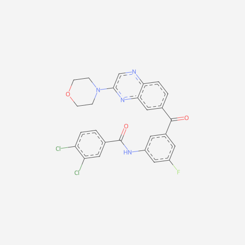 O=C(Nc1cc(F)cc(C(=O)c2ccc3ncc(N4CCOCC4)nc3c2)c1)c1ccc(Cl)c(Cl)c1